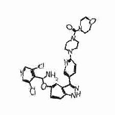 N[C@@H](Oc1ccc2[nH]nc(-c3ccc(N4CCN(C(=O)N5CCOCC5)CC4)nc3)c2c1)c1c(Cl)cncc1Cl